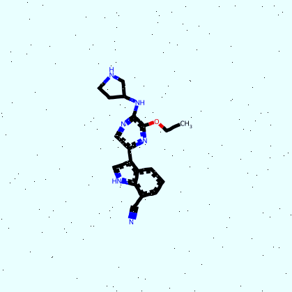 CCOc1nc(-c2c[nH]c3c(C#N)cccc23)cnc1NC1CCNC1